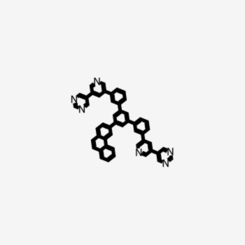 c1cc(-c2cncc(-c3cncnc3)c2)cc(-c2cc(-c3cccc(-c4cncc(-c5cncnc5)c4)c3)cc(-c3ccc4ccc5ccccc5c4c3)c2)c1